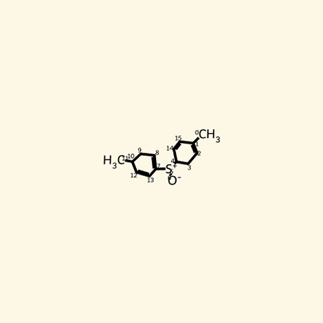 CC1=CCC([S+]([O-])C2=CCC(C)C=C2)C=C1